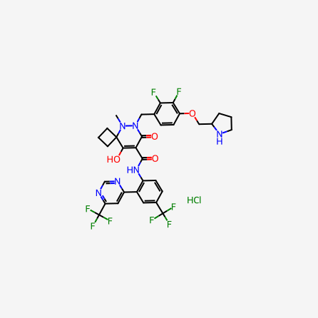 CN1N(Cc2ccc(OCC3CCCN3)c(F)c2F)C(=O)C(C(=O)Nc2ccc(C(F)(F)F)cc2-c2cc(C(F)(F)F)ncn2)=C(O)C12CCC2.Cl